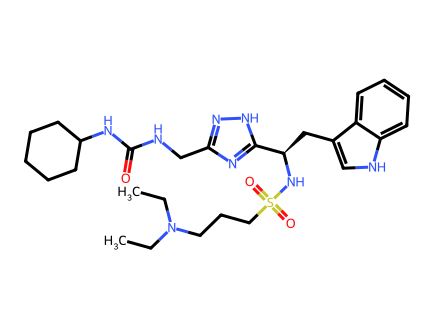 CCN(CC)CCCS(=O)(=O)N[C@H](Cc1c[nH]c2ccccc12)c1nc(CNC(=O)NC2CCCCC2)n[nH]1